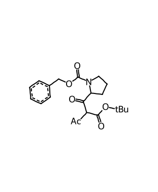 CC(=O)C(C(=O)OC(C)(C)C)C(=O)C1CCCN1C(=O)OCc1ccccc1